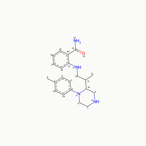 Cc1ccc(N2CCNCC2C(C)CNc2ccccc2C(N)=O)cc1